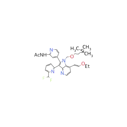 CCO/C=C/c1ccnc2c(-c3cccc(C(F)F)n3)c(-c3ccnc(NC(C)=O)c3)n(COCC[Si](C)(C)C)c12